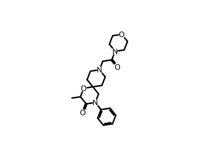 CC1OC2(CCN(CC(=O)N3CCOCC3)CC2)CN(c2ccccc2)C1=O